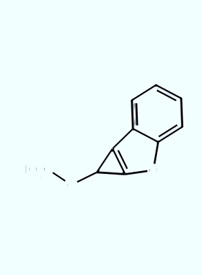 O=C(O)OC1c2oc3ccccc3c21